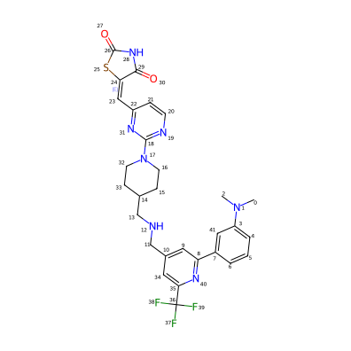 CN(C)c1cccc(-c2cc(CNCC3CCN(c4nccc(/C=C5/SC(=O)NC5=O)n4)CC3)cc(C(F)(F)F)n2)c1